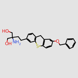 NC(CO)(CO)CCc1ccc2c(c1)Sc1ccc(OCc3ccccc3)cc1C2